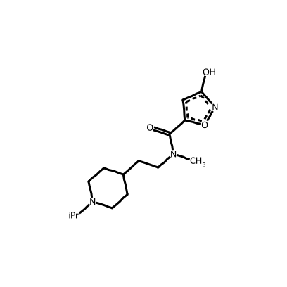 CC(C)N1CCC(CCN(C)C(=O)c2cc(O)no2)CC1